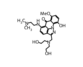 COc1ccc(O)c2c1c(=O)c1c(NCCN(C)C)ccc3c(CN(CCO)CCO)nn2c31